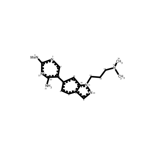 CNc1ncc(-c2ccc3cnn(CCCN(C)C)c3c2)c(N)n1